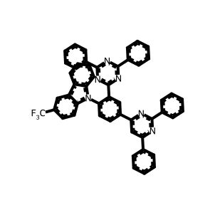 FC(F)(F)c1ccc2c(c1)c1ccccc1n2-c1ccc(-c2cc(-c3ccccc3)nc(-c3ccccc3)n2)cc1-c1nc(-c2ccccc2)nc(-c2ccccc2)n1